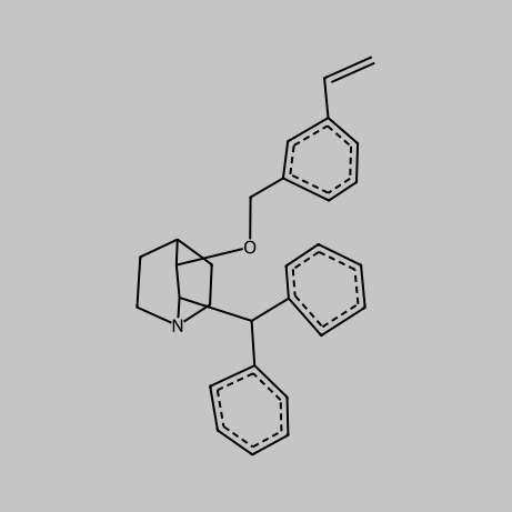 C=Cc1cccc(COC2C3CCN(CC3)C2C(c2ccccc2)c2ccccc2)c1